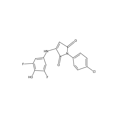 O=C1C=C(Nc2cc(F)c(O)c(F)c2)C(=O)N1c1ccc(Cl)cc1